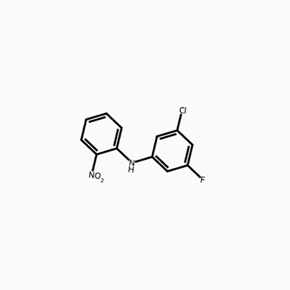 O=[N+]([O-])c1ccccc1Nc1cc(F)cc(Cl)c1